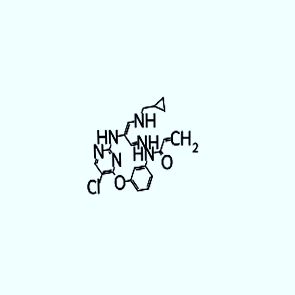 C=CC(=O)Nc1cccc(Oc2nc(N/C(C=N)=C/NCC3CC3)ncc2Cl)c1